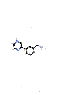 NCc1cccc(-c2cnc[c]n2)c1